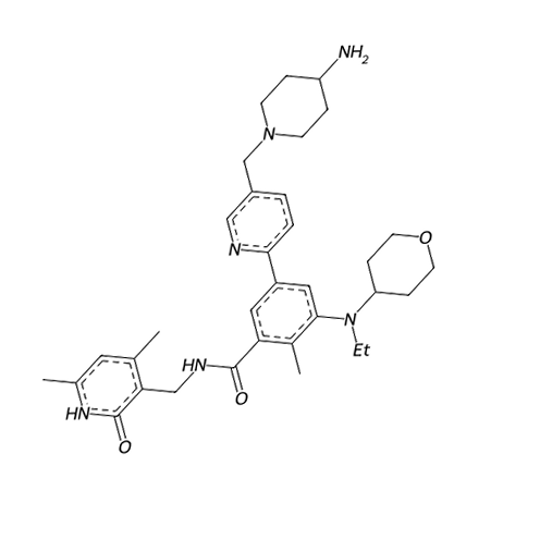 CCN(c1cc(-c2ccc(CN3CCC(N)CC3)cn2)cc(C(=O)NCc2c(C)cc(C)[nH]c2=O)c1C)C1CCOCC1